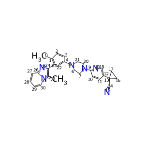 Cc1ccc(N2CCN(c3ccc(C4(C#N)CC4)cn3)CC2)cc1-c1nc2ccccn2c1C